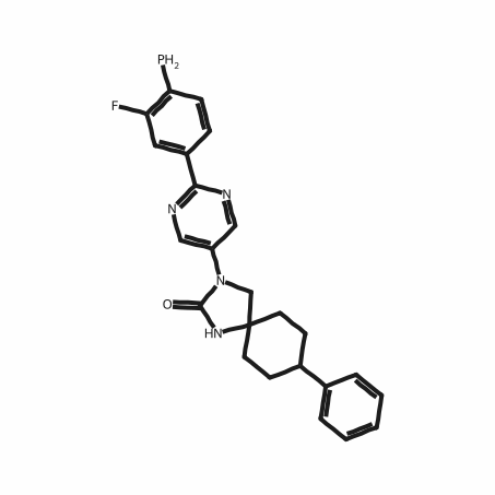 O=C1NC2(CCC(c3ccccc3)CC2)CN1c1cnc(-c2ccc(P)c(F)c2)nc1